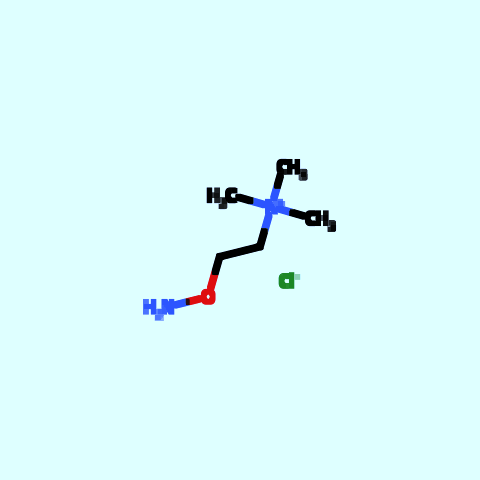 C[N+](C)(C)CCON.[Cl-]